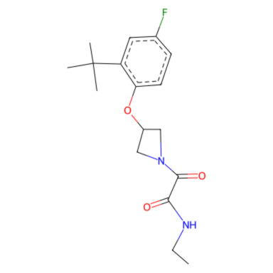 CCNC(=O)C(=O)N1CC(Oc2ccc(F)cc2C(C)(C)C)C1